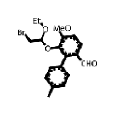 CCOC(CBr)Oc1c(OC)ccc(C=O)c1-c1ccc(C)cc1